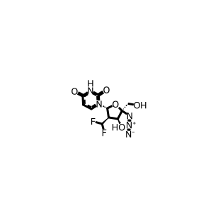 [N-]=[N+]=N[C@]1(CO)O[C@@H](n2ccc(=O)[nH]c2=O)[C@H](C(F)F)[C@@H]1O